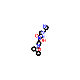 O=C([C@@H]1CCCC[C@H]1c1ccccc1)N1CCC(O)(Cn2cnc3c(ccn3Cc3cccnc3)c2=O)CC1